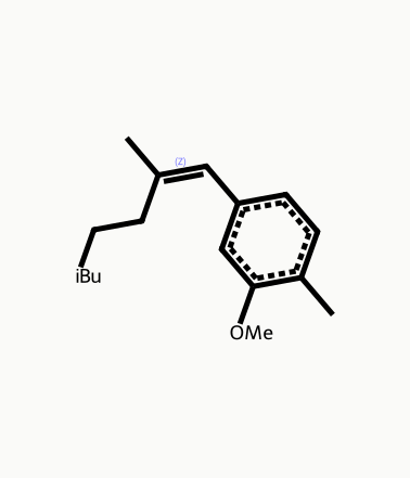 CCC(C)CC/C(C)=C\c1ccc(C)c(OC)c1